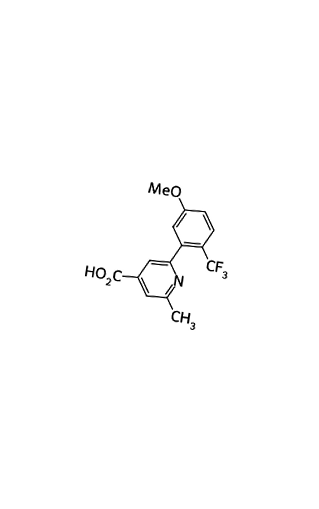 COc1ccc(C(F)(F)F)c(-c2cc(C(=O)O)cc(C)n2)c1